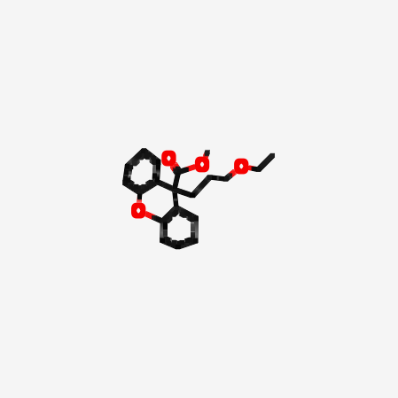 CCOCCCC1(C(=O)OC)c2ccccc2Oc2ccccc21